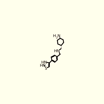 N[C@H]1CC[C@H](CNCc2ccc(C3=CSNN3)cc2)CC1